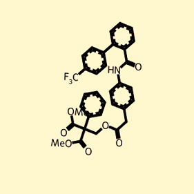 COC(=O)C(COC(=O)Cc1ccc(NC(=O)c2ccccc2-c2ccc(C(F)(F)F)cc2)cc1)(C(=O)OC)c1ccccc1